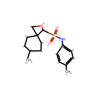 Cc1ccc(NS(=O)(=O)C2OCC23CCC(C)CC3)cc1